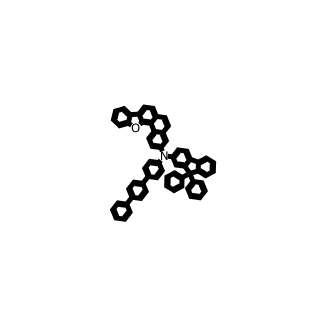 c1ccc(-c2ccc(-c3ccc(N(c4ccc5c(c4)C(c4ccccc4)(c4ccccc4)c4ccccc4-5)c4ccc5c(ccc6ccc7c8ccccc8oc7c65)c4)cc3)cc2)cc1